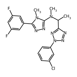 CC(c1nnn(-c2cccc(Cl)c2)n1)N(C)c1nnc(-c2cc(F)cc(F)c2)n1C